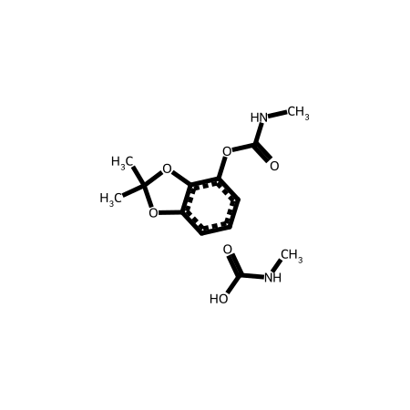 CNC(=O)O.CNC(=O)Oc1cccc2c1OC(C)(C)O2